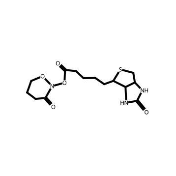 O=C1NC2CSC(CCCCC(=O)ON3OCCCC3=O)C2N1